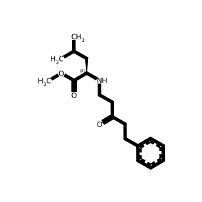 COC(=O)[C@@H](CC(C)C)NCCC(=O)CCc1ccccc1